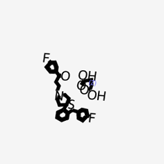 O=C(CCCN1CCC2(CC1)SC(c1ccc(F)cc1)c1ccccc12)c1ccc(F)cc1.O=C(O)/C=C\C(=O)O